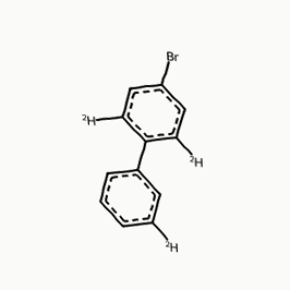 [2H]c1cccc(-c2c([2H])cc(Br)cc2[2H])c1